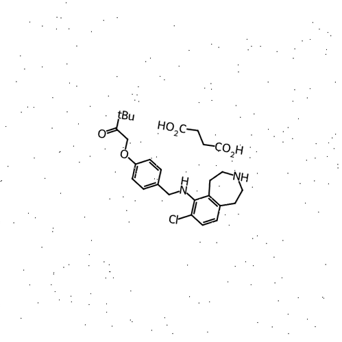 CC(C)(C)C(=O)COc1ccc(CNc2c(Cl)ccc3c2CCNCC3)cc1.O=C(O)CCC(=O)O